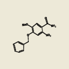 COc1cc(C(N)=O)c([N+](=O)[O-])cc1OCc1ccccc1